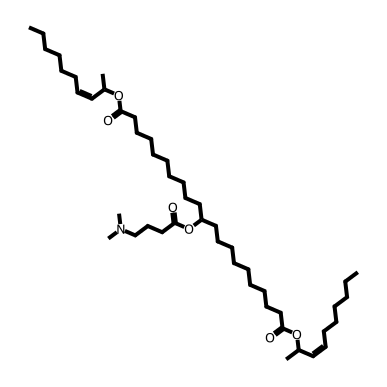 CCCCCC/C=C\C(C)OC(=O)CCCCCCCCCC(CCCCCCCCCC(=O)OC(C)/C=C\CCCCCC)OC(=O)CCCN(C)C